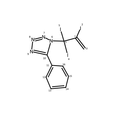 C=C(I)C(I)(I)n1nnnc1-c1ccccc1